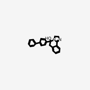 OC1(c2ccc(-c3ccccc3)cc2)Cc2ccccc2C2=NCCN21